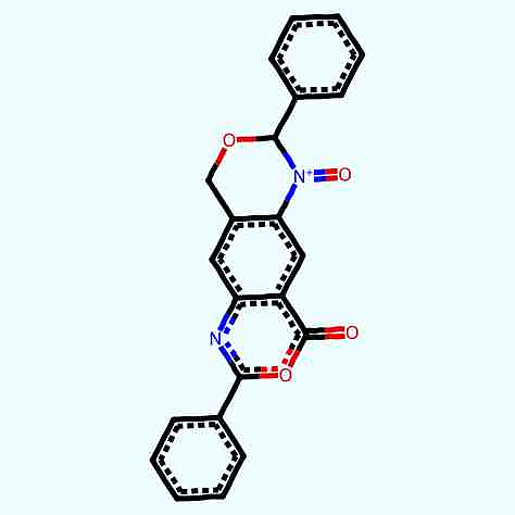 O=c1oc(-c2ccccc2)nc2cc3c(cc12)[N+](=O)C(c1ccccc1)OC3